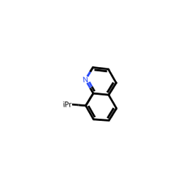 CC(C)c1cccc2cccnc12